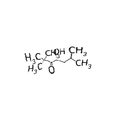 CC(C)C[C@@H](O)C(=O)C(C)(C)C